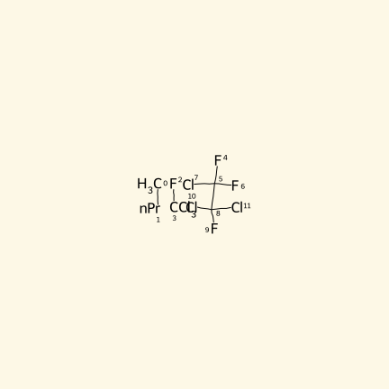 CCCC.FC(Cl)(Cl)Cl.FC(F)(Cl)C(F)(Cl)Cl